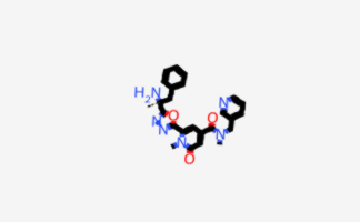 CN(Cc1cccnc1)C(=O)c1cc(-c2nnc([C@@](C)(N)Cc3ccccc3)o2)n(C)c(=O)c1